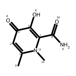 Cc1cc(=O)c(O)c(C(N)=O)n1C